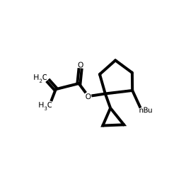 C=C(C)C(=O)OC1(C2CC2)CCCC1CCCC